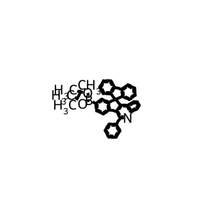 CC1(C)OB(c2ccc3c(c2)C2(c4ccccc4-c4ccccc42)c2c-3c(-c3ccccc3)nc3ccccc23)OC1(C)C